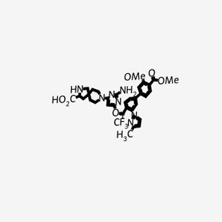 COC(=O)c1ccc(-c2ccc([C@@H](Oc3cc(N4CCC5(CC4)CNC(C(=O)O)C5)nc(N)n3)C(F)(F)F)c(-n3ccc(C)n3)c2)cc1OC